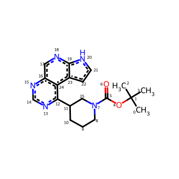 CC(C)(C)OC(=O)N1CCCC(c2ncnc3cnc4[nH]ccc4c23)C1